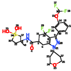 CC1(NC(=O)C2Cc3c(c(-c4cccc(OC(F)F)c4)nn3C3CCOCC3)C(F)(F)C2)CCS(O)(O)C1